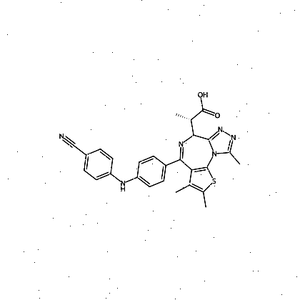 Cc1sc2c(c1C)C(c1ccc(Nc3ccc(C#N)cc3)cc1)=NC([C@H](C)C(=O)O)c1nnc(C)n1-2